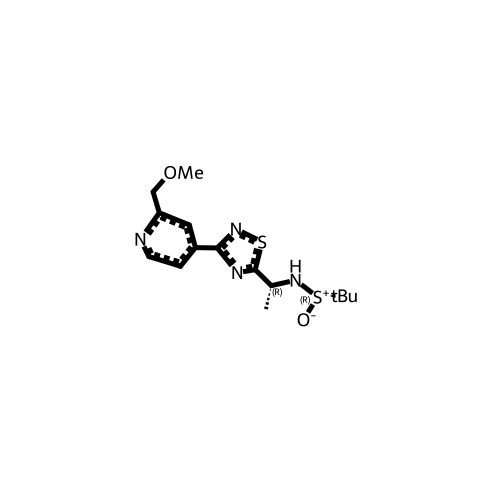 COCc1cc(-c2nsc([C@@H](C)N[S@@+]([O-])C(C)(C)C)n2)ccn1